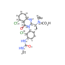 CCNC(=O)Nc1cccc(-n2c([C@H](C)N(C(=O)O)C(C)(C)C)nc3cccc(Cl)c3c2=O)c1Cl